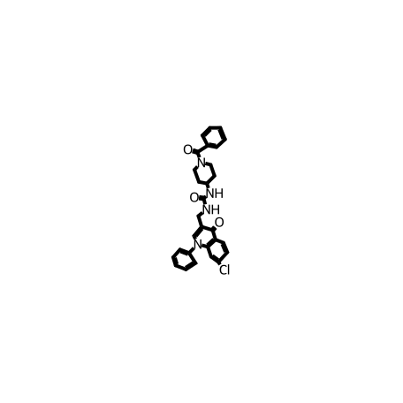 O=C(NCc1cn(-c2ccccc2)c2cc(Cl)ccc2c1=O)NC1CCN(C(=O)c2ccccc2)CC1